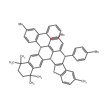 Cc1ccc2sc3c(c2c1)N(c1ccc(C(C)(C)C)cc1)c1cc(C(C)(C)C)cc2c1B3c1cc3c(cc1N2c1ccc(C(C)(C)C)cc1-c1ccccc1)C(C)(C)CCC3(C)C